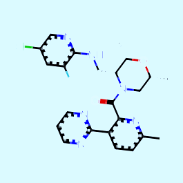 Cc1ccc(-c2ncccn2)c(C(=O)N2C[C@@H](C)O[C@@H](C)[C@H]2CNc2ncc(Cl)cc2F)n1